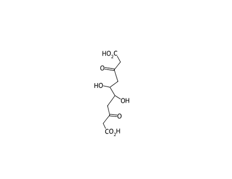 O=C(O)CC(=O)CC(O)C(O)CC(=O)CC(=O)O